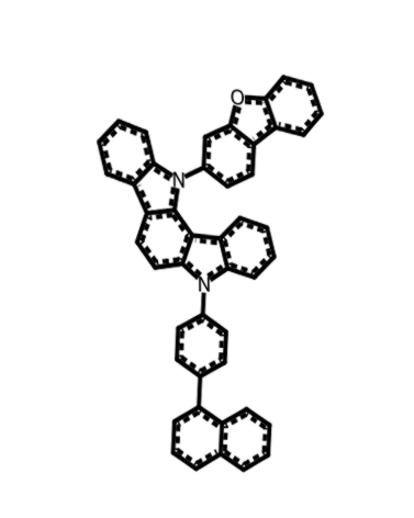 c1ccc2c(-c3ccc(-n4c5ccccc5c5c4ccc4c6ccccc6n(-c6ccc7c(c6)oc6ccccc67)c45)cc3)cccc2c1